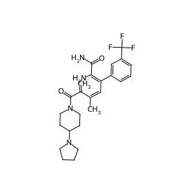 C=C(C(=O)N1CCC(N2CCCC2)CC1)/C(C)=C\C(=C(/N)C(N)=O)c1cccc(C(F)(F)F)c1